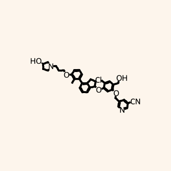 Cc1c(OCCCN2CC[C@@H](O)C2)cccc1-c1cccc2c1CCC2Oc1cc(OCc2cncc(C#N)c2)c(CO)cc1Cl